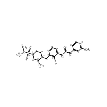 Cc1cc(NC(=O)Nc2cccc(CN3CCN(S(=O)(=O)C(C)C)C[C@@H]3C)c2F)ccn1